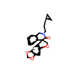 O=C1N(CCC2CC2)Cc2ccccc2C12COc1cc3c(cc12)OCO3